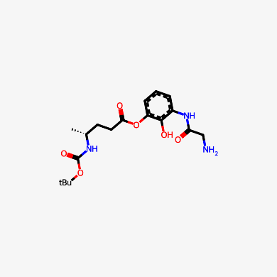 C[C@H](CCC(=O)Oc1cccc(NC(=O)CN)c1O)NC(=O)OC(C)(C)C